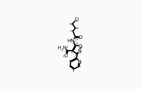 NC(=O)c1c(-c2ccccn2)noc1NC(=O)CCCCl